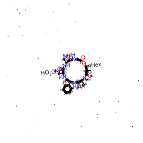 CCCCCC[C@H]1OC(=O)CNC(=O)[C@H](CN)NC(=O)[C@H](CNC(=O)O)NC(=O)[C@H](C2CCCCC2)NC(=O)[C@H](CC(C)C)N(C)C(=O)[C@@H]1C